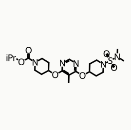 Cc1c(OC2CCN(C(=O)OC(C)C)CC2)ncnc1OC1CCN(S(=O)(=O)N(C)C)CC1